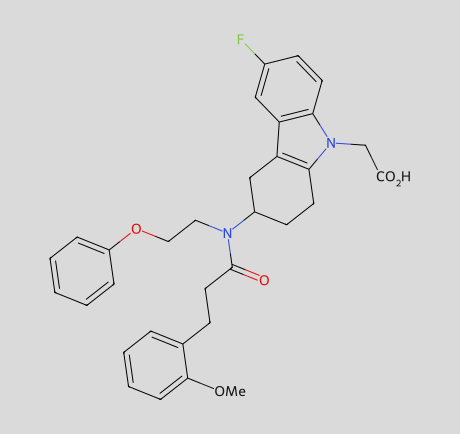 COc1ccccc1CCC(=O)N(CCOc1ccccc1)C1CCc2c(c3cc(F)ccc3n2CC(=O)O)C1